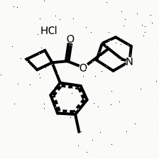 Cc1ccc(C2(C(=O)OC3CN4CCC3CC4)CCC2)cc1.Cl